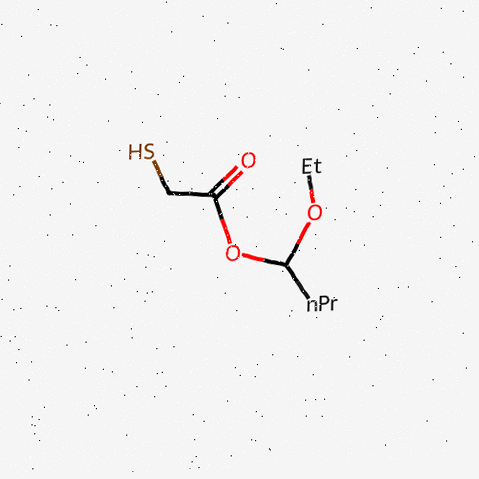 CCCC(OCC)OC(=O)CS